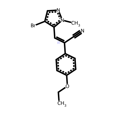 CCOc1ccc(/C(C#N)=C/c2c(Br)cnn2C)cc1